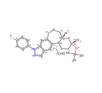 CC[Si](CC)(CC)O[C@]1(C(F)(F)F)CC[C@@]2(CC=O)c3cc4cnn(-c5ccc(F)cc5)c4cc3CCC[C@@H]2C1